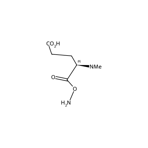 CN[C@H](CCC(=O)O)C(=O)ON